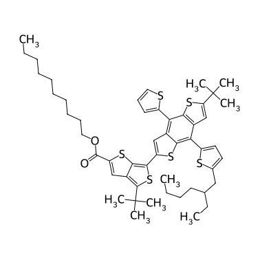 CCCCCCCCCCOC(=O)c1cc2c(C(C)(C)C)sc(-c3cc4c(-c5cccs5)c5sc(C(C)(C)C)cc5c(-c5ccc(CC(CC)CCCC)s5)c4s3)c2s1